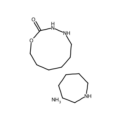 C1CCCNCC1.N.O=C1NNCCCCCCO1